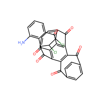 Nc1cccc2c(=O)c3c4c(=O)c5ccc(c(=O)c(c6c(=O)c7ccc(cc7)c(=O)c46)c3c(=O)c12)C(Cl)C5Cl